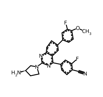 COc1ccc(-c2ccc3nc(N4CC[C@@H](N)C4)nc(-c4ccc(C#N)c(F)c4)c3c2)cc1F